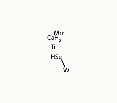 [CaH2].[Mn].[SeH][W].[Ti]